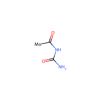 NC(=O)N[C](=O)[Mo]